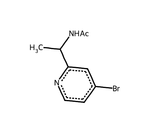 CC(=O)NC(C)c1cc(Br)ccn1